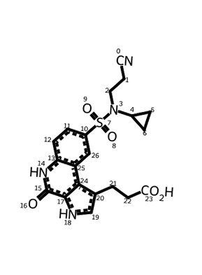 N#CCCN(C1CC1)S(=O)(=O)c1ccc2[nH]c(=O)c3[nH]cc(CCC(=O)O)c3c2c1